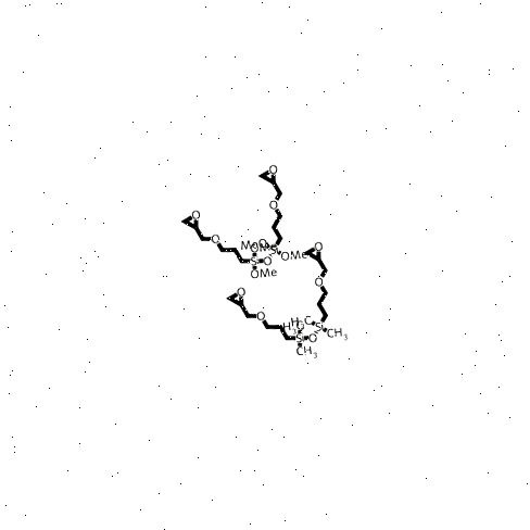 CO[Si](CCCOCC1CO1)(OC)O[Si](CCCOCC1CO1)(OC)OC.C[Si](C)(CCCOCC1CO1)O[Si](C)(C)CCCOCC1CO1